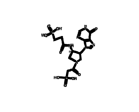 O=C(CCP(=O)(O)O)N[C@@H]1CN(C(=O)CP(=O)(O)O)CC1n1cnc2c(=O)[nH]cnc21